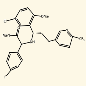 CNC(=O)C(N[C@@H](CCc1ccc(C(F)(F)F)nc1)c1cc(Cl)ccc1OC)c1ccc(F)cc1